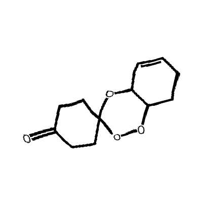 O=C1CCC2(CC1)OOC1CCC=CC1O2